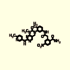 Cc1ccc(Nc2ncc3c(n2)N(C)C(=O)N(c2cc(NC(=O)Cc4cc([N+](=O)[O-])ccc4C(N)=O)ccc2C)C3)cn1